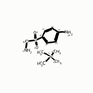 C[N+](C)(C)C.NOS(=O)(=O)c1ccc(N)cc1